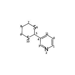 c1cncc(C2SCCCS2)c1